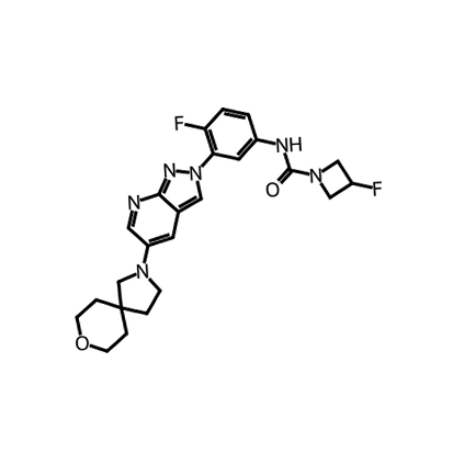 O=C(Nc1ccc(F)c(-n2cc3cc(N4CCC5(CCOCC5)C4)cnc3n2)c1)N1CC(F)C1